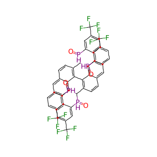 O=[PH](c1cccc(C(F)(F)F)c1)C(c1ccc2ccccc2c1-c1c(C([PH](=O)c2cccc(C(F)(F)F)c2)[PH](=O)c2cccc(C(F)(F)F)c2)ccc2ccccc12)[PH](=O)c1cccc(C(F)(F)F)c1